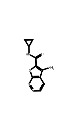 Nc1c(C(=O)NC2CC2)sc2nnccc12